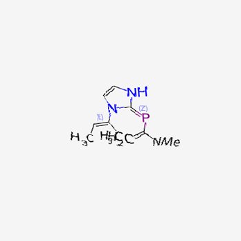 C=C(NC)/P=c1/[nH]ccn1/C(C)=C/C